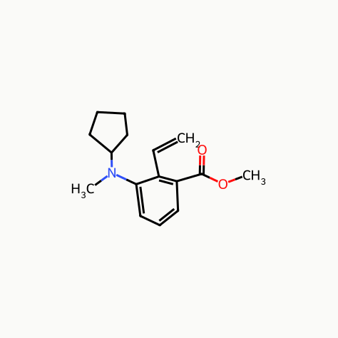 C=Cc1c(C(=O)OC)cccc1N(C)C1CCCC1